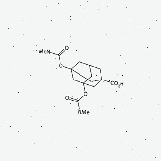 CNC(=O)OC12CC3CC(OC(=O)NC)(C1)CC(C(=O)O)(C3)C2